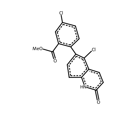 COC(=O)c1cc(Cl)ccc1-c1ccc2[nH]c(=O)ccc2c1Cl